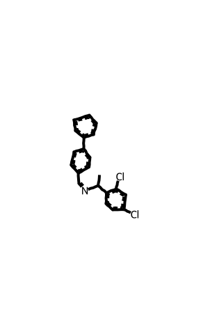 CC(/N=C\c1ccc(-c2ccccc2)cc1)c1ccc(Cl)cc1Cl